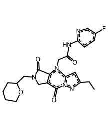 CCc1cc2n(CC(=O)Nc3ccc(F)cn3)c3c(c(=O)n2n1)CN(CC1CCCCO1)C3=O